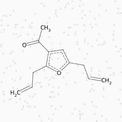 C=CCc1cc(C(C)=O)c(CC=C)o1